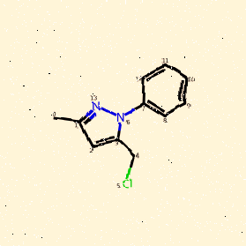 Cc1cc(CCl)n(-c2ccccc2)n1